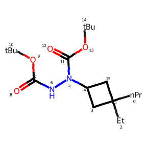 CCCC1(CC)CC(N(NC(=O)OC(C)(C)C)C(=O)OC(C)(C)C)C1